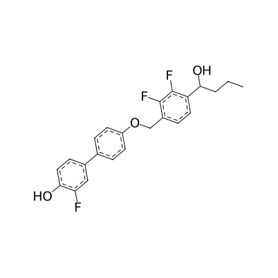 CCCC(O)c1ccc(COc2ccc(-c3ccc(O)c(F)c3)cc2)c(F)c1F